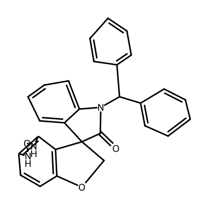 O=C1N(C(c2ccccc2)c2ccccc2)c2ccccc2C12COc1ccc3c(c12)NON3